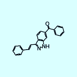 O=C(c1ccccc1)c1ccc2c(C=Cc3ccccc3)n[nH]c2c1